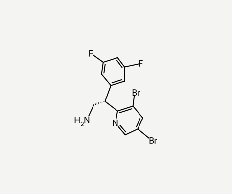 NC[C@H](c1cc(F)cc(F)c1)c1ncc(Br)cc1Br